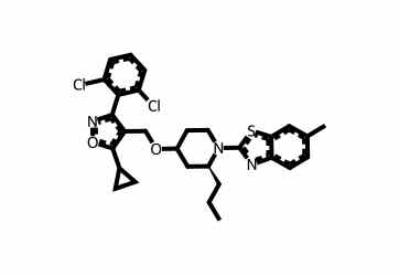 CCC[C@H]1CC(OCc2c(-c3c(Cl)cccc3Cl)noc2C2CC2)CCN1c1nc2ccc(C)cc2s1